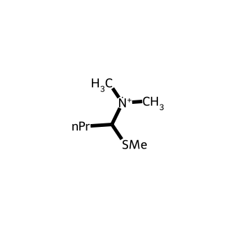 CCCC(SC)[N+](C)C